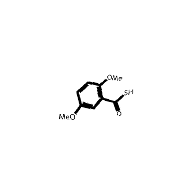 COc1ccc(OC)c(C(=O)S)c1